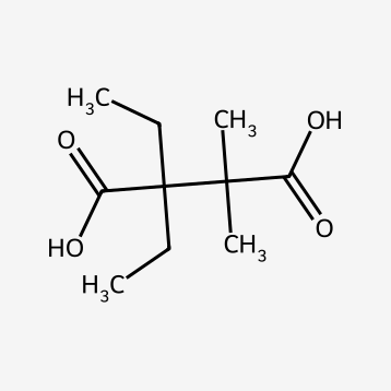 CCC(CC)(C(=O)O)C(C)(C)C(=O)O